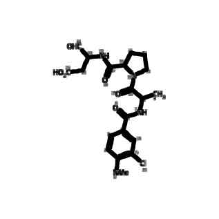 CNc1ccc(C(=O)NC(C)C(=O)N2CCCC2C(=O)NC(C=O)CC(=O)O)cc1Cl